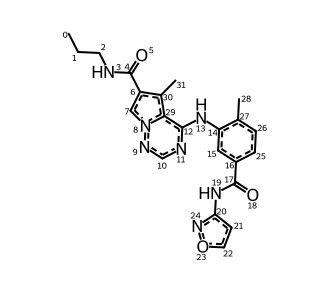 CCCNC(=O)c1cn2ncnc(Nc3cc(C(=O)Nc4ccon4)ccc3C)c2c1C